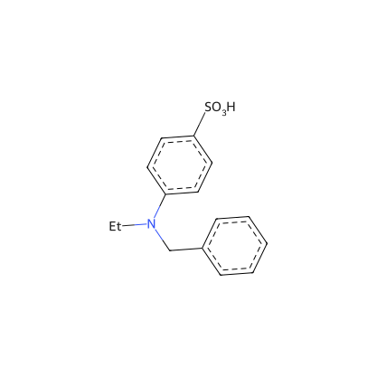 CCN(Cc1ccccc1)c1ccc(S(=O)(=O)O)cc1